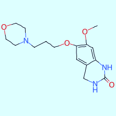 COc1cc2c(cc1OCCCN1CCOCC1)CNC(=O)N2